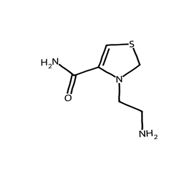 NCCN1CSC=C1C(N)=O